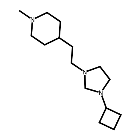 CN1CCC(CCN2CCN(C3CCC3)C2)CC1